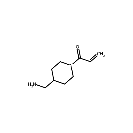 C=CC(=O)N1CCC(CN)CC1